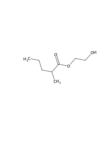 CCCC(C)C(=O)OCCO